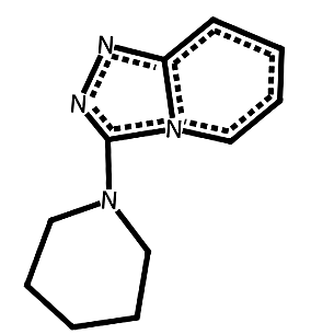 c1ccn2c(N3CCCCC3)nnc2c1